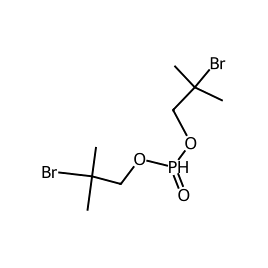 CC(C)(Br)CO[PH](=O)OCC(C)(C)Br